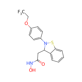 O=C(CC1c2ccccc2SN1c1ccc(OCC(F)(F)F)cc1)NO